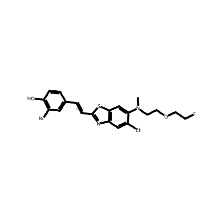 CCc1cc2nc(/C=C/c3ccc(O)c(Br)c3)sc2cc1N(C)CCOCCF